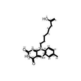 C=C(O)CCCCCCn1c2nc(=O)[nH]c(=O)c-2nc2cc(C)ccc21